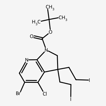 CC(C)(C)OC(=O)N1CC(CCI)(CCI)c2c1ncc(Br)c2Cl